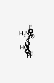 Nc1cc(F)ccc1C(=O)CCCN1CCC(O)(Cc2cccc(C(F)(F)F)c2)CC1